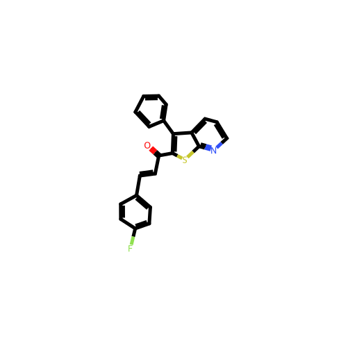 O=C(/C=C/c1ccc(F)cc1)c1sc2ncccc2c1-c1ccccc1